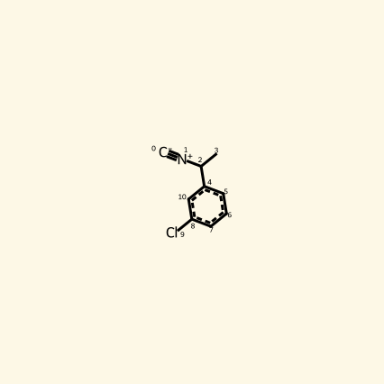 [C-]#[N+]C(C)c1cccc(Cl)c1